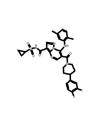 Cc1ccc(C)c(Nc2c(C(=O)N3CCC(c4ccc(F)c(F)c4)CC3)cnc3c(C(=O)NS(=O)(=O)C4CC4)cnn23)c1